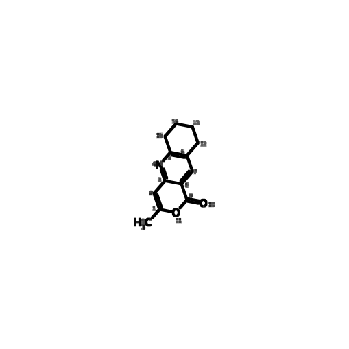 Cc1cc2nc3c(cc2c(=O)o1)CCCC3